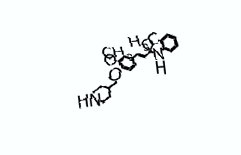 COc1cc(/C=C/C(=O)Nc2ccccc2C)ccc1OCC1CCNCC1